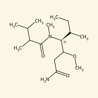 CCC(C)[C@@H](C(CC(N)=O)OC)N(C)C(=O)C(C)C(C)C